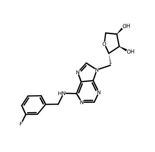 O[C@@H]1[C@H](O)CO[C@H]1Cn1cnc2c(NCc3cccc(F)c3)ncnc21